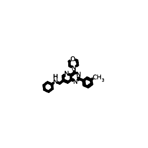 Cc1cccc(-c2nc(N3CCOCC3)c3ncc(CNC4CCCCC4)cc3n2)c1